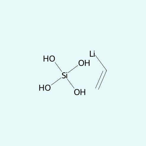 O[Si](O)(O)O.[Li][CH]=C